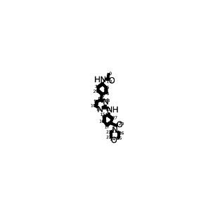 CC(=O)Nc1ccc(-c2ccnc(Nc3cccc(C(=O)N4CCOCC4)c3)n2)cc1